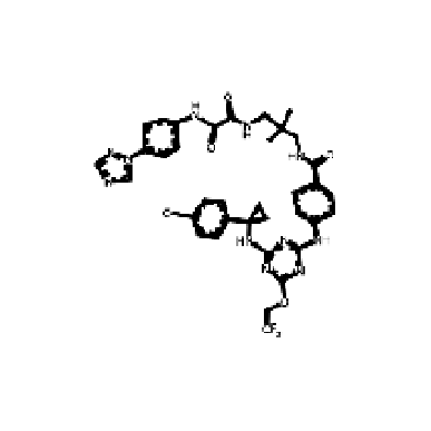 CC(C)(CNC(=O)C(=O)Nc1ccc(-n2cncn2)cc1)CNC(=O)c1ccc(Nc2nc(NC3(c4ccc(Cl)cc4)CC3)nc(OCC(F)(F)F)n2)cc1